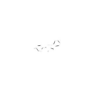 CCc1ccc(C2Cn3c(nc4ccccc43)[S+]2[O-])nc1